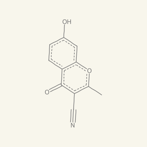 Cc1oc2cc(O)ccc2c(=O)c1C#N